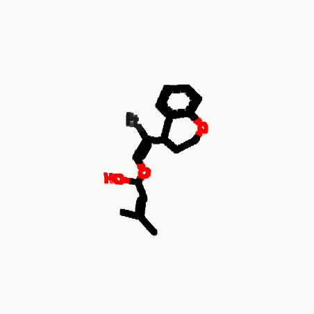 CC/C(=C/OC(O)C=C(C)C)C1CCOc2ccccc21